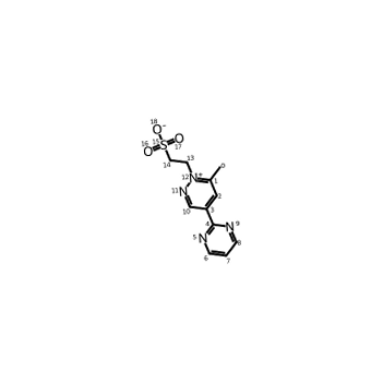 Cc1cc(-c2ncccn2)cn[n+]1CCS(=O)(=O)[O-]